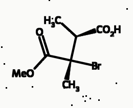 COC(=O)[C@@](C)(Br)[C@@H](C)C(=O)O